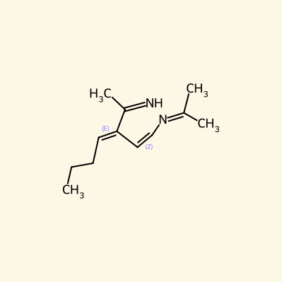 CCC/C=C(\C=C/N=C(C)C)C(C)=N